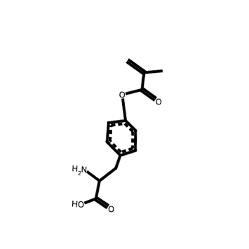 C=C(C)C(=O)Oc1ccc(CC(N)C(=O)O)cc1